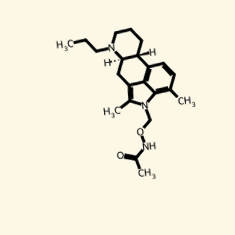 CCCN1CCC[C@@H]2c3ccc(C)c4c3c(c(C)n4CONC(C)=O)C[C@H]21